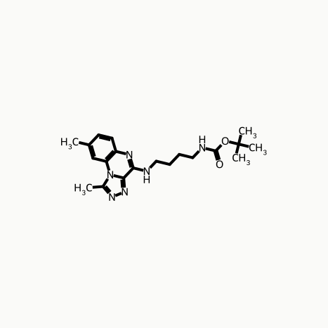 Cc1ccc2nc(NCCCCNC(=O)OC(C)(C)C)c3nnc(C)n3c2c1